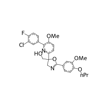 CCCOc1ccc(C2=NCC(CO)(c3ccc(OC)c(-c4ccc(F)c(Cl)c4)n3)O2)cc1OC